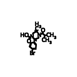 CC(C)C(=O)N1C[C@H](c2ccc(Br)cc2)N(C(=O)O)C[C@H]1C